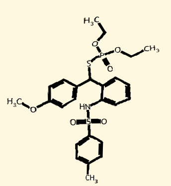 CCOP(=O)(OCC)SC(c1ccc(OC)cc1)c1ccccc1NS(=O)(=O)c1ccc(C)cc1